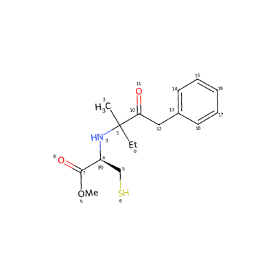 CCC(C)(N[C@@H](CS)C(=O)OC)C(=O)Cc1ccccc1